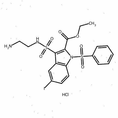 CCOC(=O)c1c(S(=O)(=O)NCCN)c2cc(I)ccc2n1S(=O)(=O)c1ccccc1.Cl